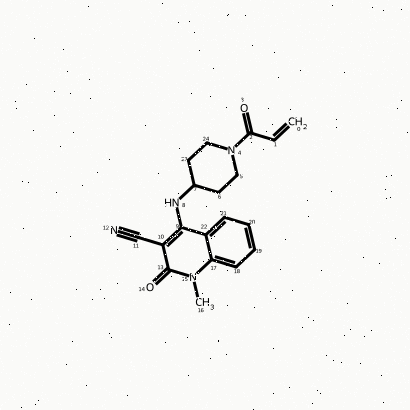 C=CC(=O)N1CCC(Nc2c(C#N)c(=O)n(C)c3ccccc23)CC1